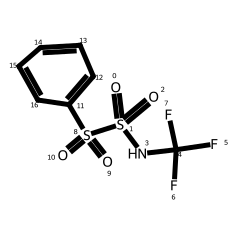 O=S(=O)(NC(F)(F)F)S(=O)(=O)c1ccccc1